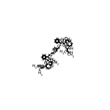 CN[C@@H](C)C(=S)N[C@H]1CCS[C@H]2CC(C)(C)[C@@H](C(=O)N[C@H](COCc3cn(CCOC[C@@H](NC(=O)[C@H]4N5C(=O)[C@@H](NC[C@H](C)NC)CCS[C@H]5CC4(C)C)c4ccccc4)nn3)c3ccccc3)N2C1=O